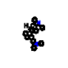 Cc1c(-c2cccc3c(C4Cc5cc6c(cc5-c5ccc7ccccc7c54)c4ccccc4n6-c4ccccc4)cccc23)c(-c2ccccc2)nc2ccccc12